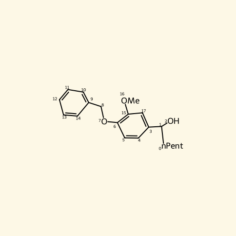 CCCCCC(O)c1ccc(OCc2ccccc2)c(OC)c1